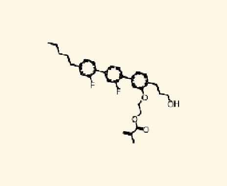 C=C(C)C(=O)OCCOc1cc(-c2ccc(-c3ccc(CCCCC)cc3F)cc2F)ccc1CCCO